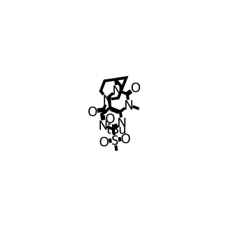 CN1C(=O)N(C23CCN(C(=O)OC(C)(C)C)CC2C3)Cc2cnc(S(C)(=O)=O)nc21